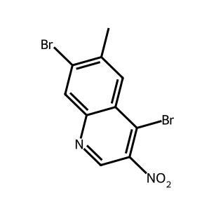 Cc1cc2c(Br)c([N+](=O)[O-])cnc2cc1Br